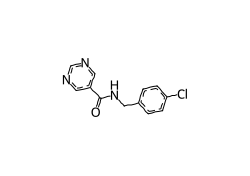 O=C(NCc1ccc(Cl)cc1)c1cncnc1